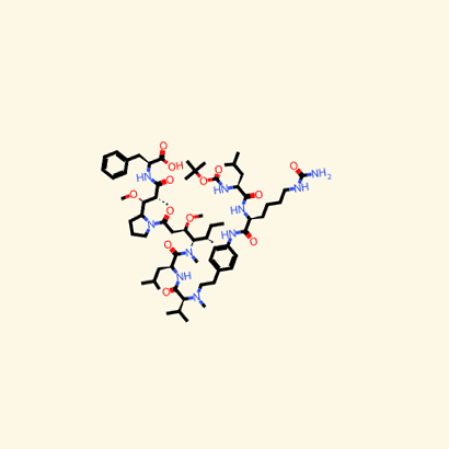 CC[C@H](C)[C@@H]([C@@H](CC(=O)N1CCCC1[C@H](OC)[C@@H](C)C(=O)N[C@@H](Cc1ccccc1)C(=O)O)OC)N(C)C(=O)[C@H](CC(C)C)NC(=O)[C@H](C(C)C)N(C)CCc1ccc(NC(=O)[C@H](CCCCNC(N)=O)NC(=O)[C@H](CC(C)C)NC(=O)OC(C)(C)C)cc1